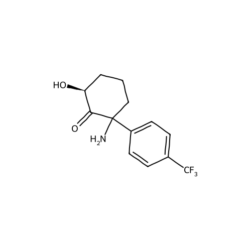 NC1(c2ccc(C(F)(F)F)cc2)CCC[C@H](O)C1=O